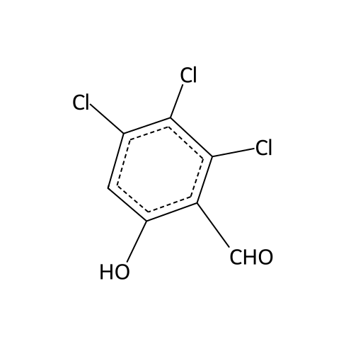 O=Cc1c(O)cc(Cl)c(Cl)c1Cl